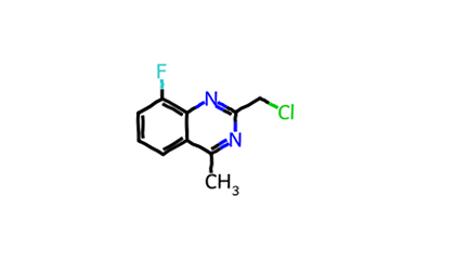 Cc1nc(CCl)nc2c(F)cccc12